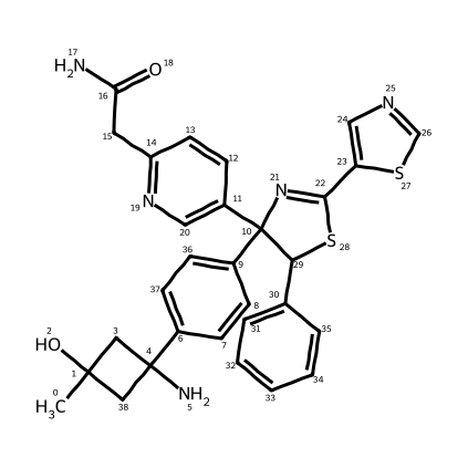 CC1(O)CC(N)(c2ccc(C3(c4ccc(CC(N)=O)nc4)N=C(c4cncs4)SC3c3ccccc3)cc2)C1